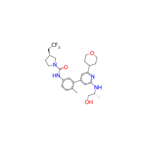 Cc1ccc(NC(=O)N2CC[C@@H](CC(F)(F)F)C2)cc1-c1cc(N[C@H](C)CO)nc(C2CCOCC2)c1